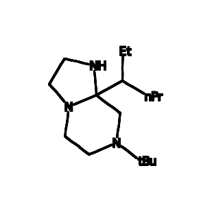 CCCC(CC)C12CN(C(C)(C)C)CCN1CCN2